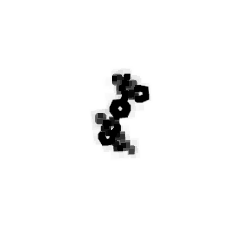 CS(=O)(=O)N=C(c1ccc(N2C[C@@H]3[C@H](N)CCN3C2=O)cc1)N1CCCC1